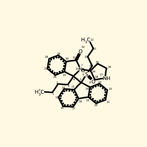 CCCCC1(C2(S(=O)(=O)CCCC)c3ccccc3-c3ccccc32)c2ccccc2C(=O)N1C1CCNC1